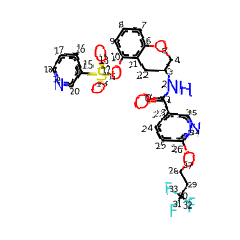 O=C(NC1COc2cccc(OS(=O)(=O)c3cccnc3)c2C1)c1ccc(OCCC(F)(F)F)nc1